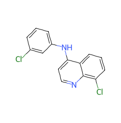 Clc1cccc(Nc2ccnc3c(Cl)cccc23)c1